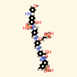 COc1ccc(Nc2ccc3c(O)c(N=Nc4cc(C)c(N=Nc5cc(C)c(N=Nc6ccc(-n7nc8ccc9c(S(=O)(=O)O)cc(C)cc9c8n7)c(C(=O)O)c6)cc5OCCCS(=O)(=O)O)cc4C)c(S(=O)(=O)O)cc3c2)cc1